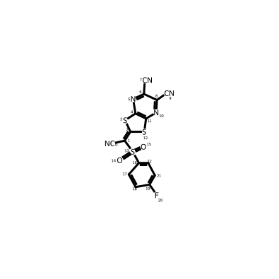 N#CC(=C1Sc2nc(C#N)c(C#N)nc2S1)S(=O)(=O)c1ccc(F)cc1